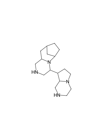 C1CN2CCC(C3CNCC4CC5CCC(C5)N43)C2CN1